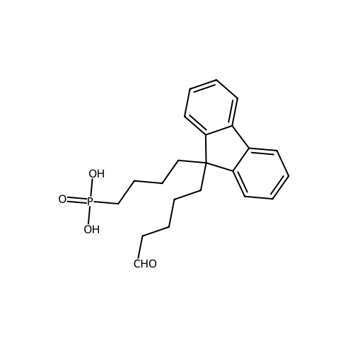 O=CCCCCC1(CCCCP(=O)(O)O)c2ccccc2-c2ccccc21